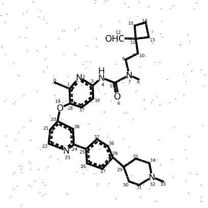 Cc1nc(NC(=O)N(C)CCC2(C=O)CCC2)ccc1Oc1ccnc(-c2ccc(C3CCN(C)CC3)cc2)c1